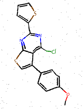 COc1ccc(-c2csc3nc(-c4cccs4)nc(Cl)c23)cc1